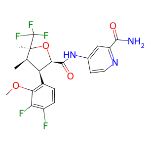 COc1c([C@H]2[C@@H](C)[C@@](C)(C(F)(F)F)O[C@H]2C(=O)Nc2ccnc(C(N)=O)c2)ccc(F)c1F